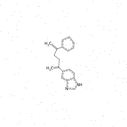 C=C(CCC(=C)c1ccc2[nH]cnc2c1)c1ccccc1